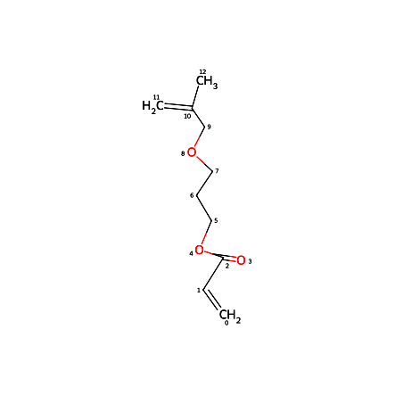 C=CC(=O)OCCCOCC(=C)C